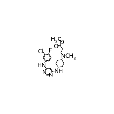 COC(=O)CCN(C)C1CCC(Nc2cc(Nc3ccc(F)c(Cl)c3)ncn2)CC1